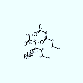 CCCC(=O)CC(C)=O.CCCC(=O)CC(C)=O.[Pt+2].[Pt+2]